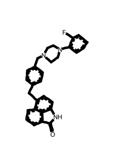 O=C1Nc2ccc(Cc3ccc(CN4CCN(c5ccccc5F)CC4)cc3)c3cccc1c23